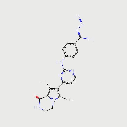 Cc1c(-c2ccnc(Nc3ccc(/C(N)=N/N=N)cc3)n2)c(C)n2c1C(=O)NCC2